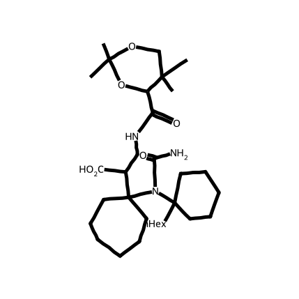 CCCCCCC1(N(C(N)=O)C2(C(CNC(=O)C3OC(C)(C)OCC3(C)C)C(=O)O)CCCCCC2)CCCCC1